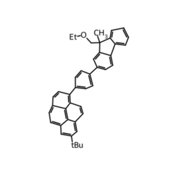 CCOCC1(C)c2ccccc2-c2ccc(-c3ccc(-c4ccc5ccc6cc(C(C)(C)C)cc7ccc4c5c67)cc3)cc21